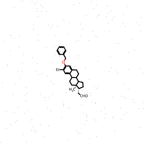 CCc1cc2c(cc1OCc1ccccc1)CCC1C2CC[C@@]2(C)C1CC[C@@H]2CC=O